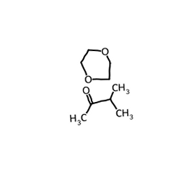 C1COCCO1.CC(=O)C(C)C